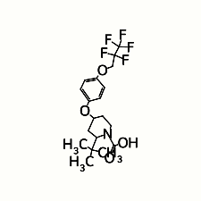 CC(C)(C)C1CC(Oc2ccc(OCC(F)(F)C(F)(F)F)cc2)CCN1C(=O)O